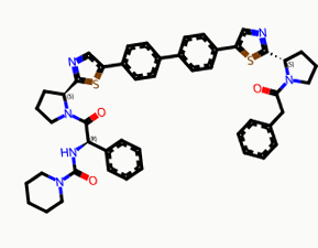 O=C(N[C@@H](C(=O)N1CCC[C@H]1c1ncc(-c2ccc(-c3ccc(-c4cnc([C@@H]5CCCN5C(=O)Cc5ccccc5)s4)cc3)cc2)s1)c1ccccc1)N1CCCCC1